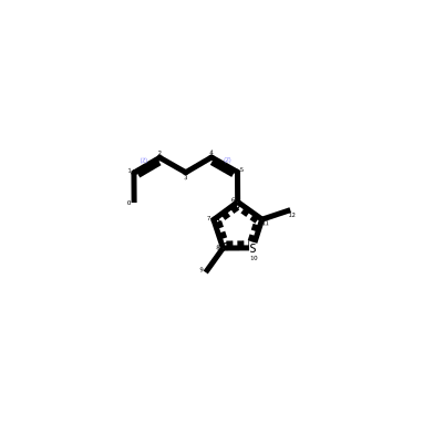 C/C=C\C/C=C\c1cc(C)sc1C